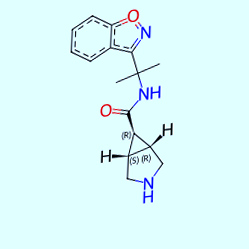 CC(C)(NC(=O)[C@H]1[C@@H]2CNC[C@@H]21)c1noc2ccccc12